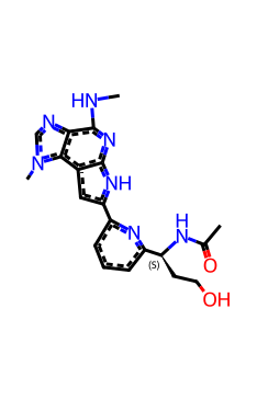 CNc1nc2[nH]c(-c3cccc([C@H](CCO)NC(C)=O)n3)cc2c2c1ncn2C